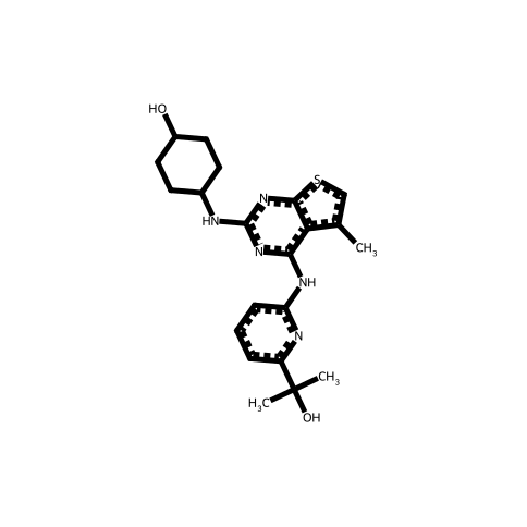 Cc1csc2nc(NC3CCC(O)CC3)nc(Nc3cccc(C(C)(C)O)n3)c12